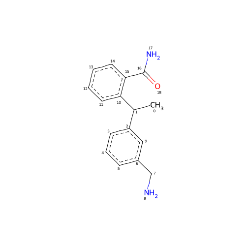 CC(c1cccc(CN)c1)c1ccccc1C(N)=O